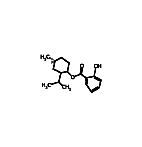 CC(C)C1C[C@H](C)CCC1OC(=O)c1ccccc1O